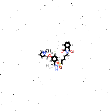 C[C@@H](NS(=O)(=O)CCCCCN1C(=O)c2ccccc2C1=O)c1ccc(F)c(OC[C@@H]2CCCN2C)c1